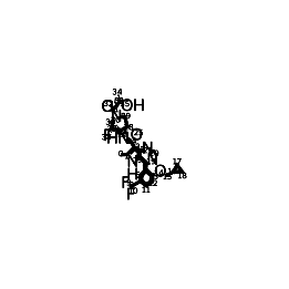 Cc1[nH]c2c(-c3cc(C(F)F)ccc3OCC3CC3)ncnc2c1C(=O)N[C@H]1CCN(C(=O)[C@H](C)O)C[C@@H]1F